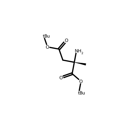 CC(C)(C)OC(=O)C[C@](C)(N)C(=O)OC(C)(C)C